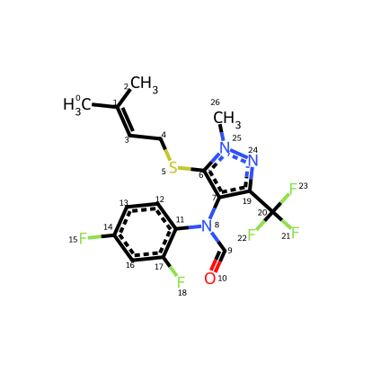 CC(C)=CCSc1c(N(C=O)c2ccc(F)cc2F)c(C(F)(F)F)nn1C